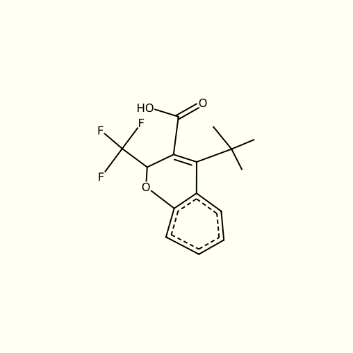 CC(C)(C)C1=C(C(=O)O)C(C(F)(F)F)Oc2ccccc21